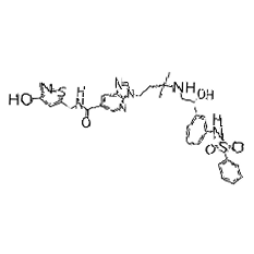 CC(C)(CCn1cnc2cc(C(=O)NCc3cc(O)ns3)cnc21)NC[C@H](O)c1cccc(NS(=O)(=O)c2ccccc2)c1